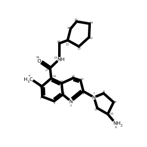 Cc1ccc2nc(N3CCC(N)C3)ccc2c1C(=O)NCC1CCCCC1